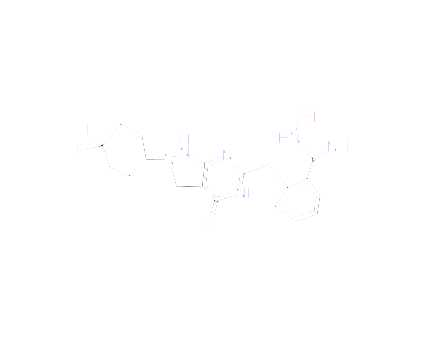 N=C(NO)c1ccccc1Cc1nc2c(c(=O)[nH]1)CN(C1CCC(F)(F)CC1)N2